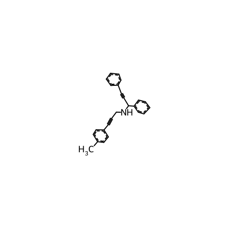 Cc1ccc(C#CCNC(C#Cc2ccccc2)c2ccccc2)cc1